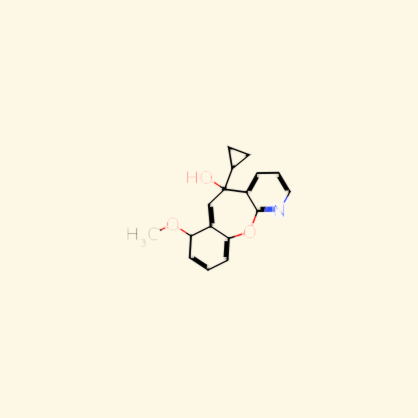 COC1C=CC=C2Oc3ncccc3C(O)(C3CC3)C=C21